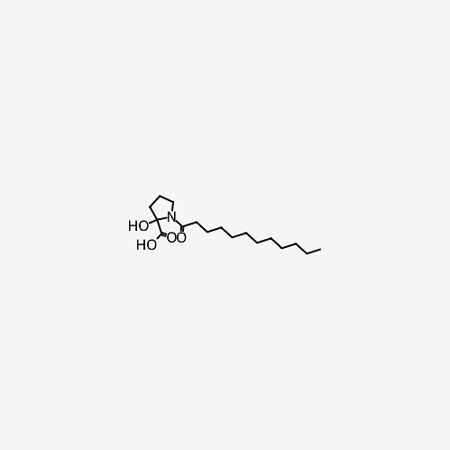 CCCCCCCCCCCC(=O)N1CCCC1(O)C(=O)O